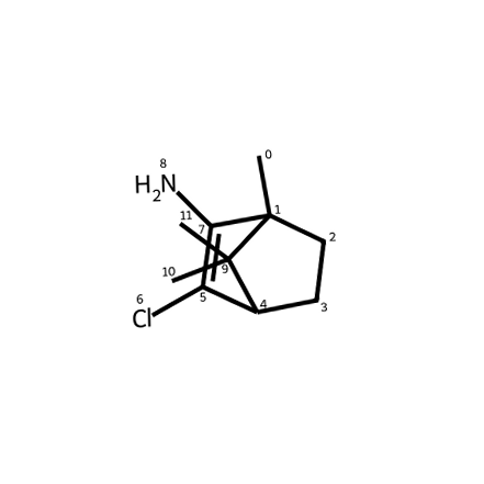 CC12CCC(C(Cl)=C1N)C2(C)C